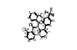 O=C(c1ccccc1Cl)N(C(=O)c1ccccc1Cl)c1ncncc1-c1ccc(C(F)(F)F)cc1